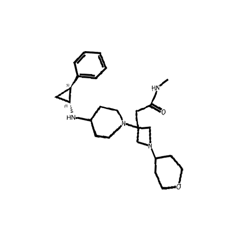 CNC(=O)CC1(N2CCC(N[C@@H]3C[C@H]3c3ccccc3)CC2)CN(C2CCOCC2)C1